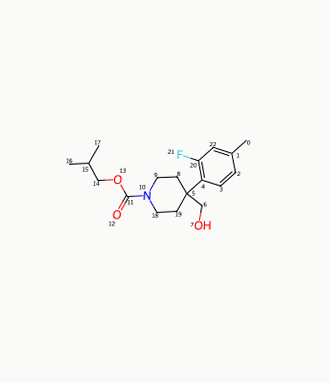 Cc1ccc(C2(CO)CCN(C(=O)OCC(C)C)CC2)c(F)c1